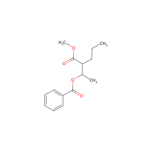 CCCC(C(=O)OC)C(C)OC(=O)c1ccccc1